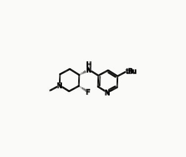 CN1CC[C@H](Nc2cncc(C(C)(C)C)c2)[C@H](F)C1